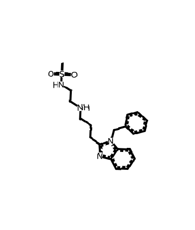 CS(=O)(=O)NCCNCCCc1nc2ccccc2n1Cc1ccccc1